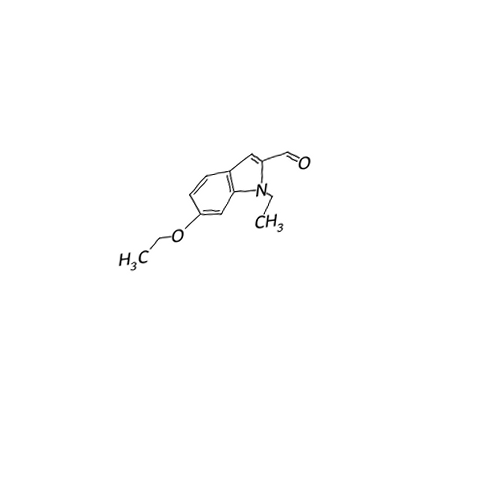 CCOc1ccc2cc(C=O)n(CC)c2c1